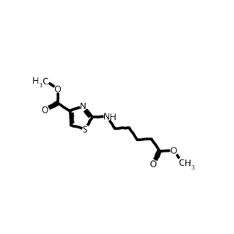 COC(=O)CCCCNc1nc(C(=O)OC)cs1